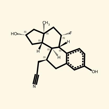 C[C@@]12C[C@@H](O)C[C@H]1[C@@H]1[C@H](CC#N)Cc3cc(O)ccc3[C@H]1[C@@H](F)C2